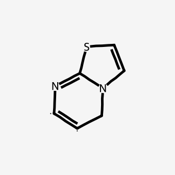 [C]1=[C]N=C2SC=CN2C1